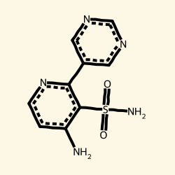 Nc1ccnc(-c2cncnc2)c1S(N)(=O)=O